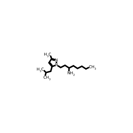 CCCCCC(N)CCn1nc(C)cc1CC(C)C